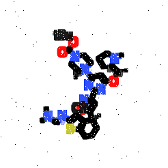 C[C@H](Oc1cc(N2CCN(C(=O)OC(C)(C)C)C[C@H]2C)nc(-c2cc([C@@]3(C)CCCc4sc(/N=C/N(C)C)c(C#N)c43)on2)n1)[C@@H]1CCCN1C